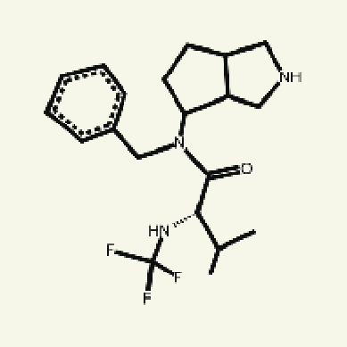 CC(C)[C@H](NC(F)(F)F)C(=O)N(Cc1ccccc1)C1CCC2CNCC21